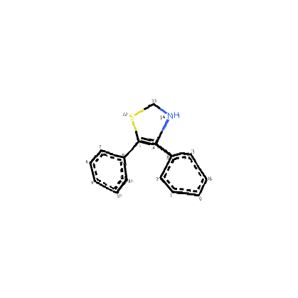 c1ccc(C2=C(c3ccccc3)SCN2)cc1